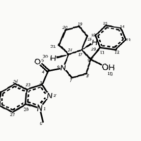 Cn1nc(C(=O)N2CCC(O)(c3ccccc3)[C@H]3CCCC[C@H]32)c2ccccc21